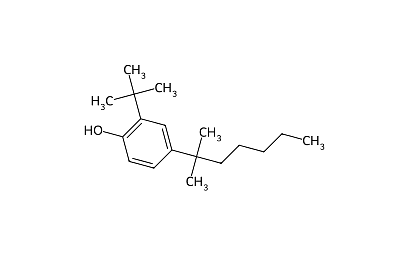 CCCCCC(C)(C)c1ccc(O)c(C(C)(C)C)c1